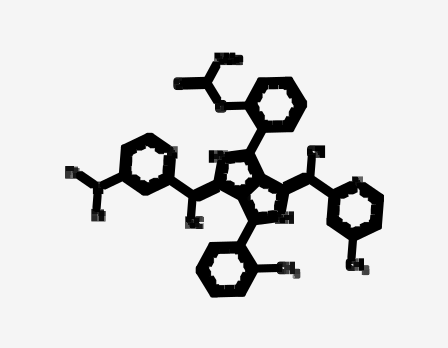 [C-]#[N+]/C(c1cc(N(CC)CC)ccn1)=c1/[nH]c(-c2ccccc2OC(=O)NC)c2/c(=C(\C#N)c3cc(C)ccn3)[nH]c(-c3ccccc3C)c12